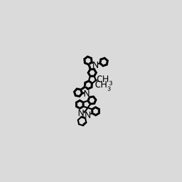 CC1(C)c2cc3c(cc2-c2cc4c5ccccc5n(-c5cccc6c5-c5ccccc5C65c6ccccc6-n6c5nc5c6C=CCC5)c4cc21)c1ccccc1n3-c1ccccc1